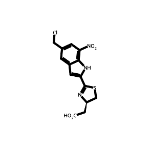 O=C(O)C[C@@H]1CSC(c2cc3cc(CCl)cc([N+](=O)[O-])c3[nH]2)=N1